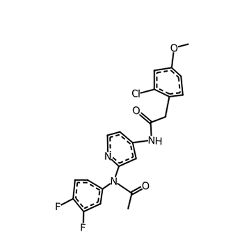 COc1ccc(CC(=O)Nc2ccnc(N(C(C)=O)c3ccc(F)c(F)c3)c2)c(Cl)c1